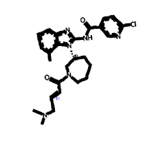 Cc1cccc2nc(NC(=O)c3ccc(Cl)nc3)n([C@@H]3CCCCN(C(=O)/C=C/CN(C)C)C3)c12